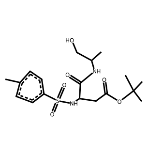 Cc1ccc(S(=O)(=O)NC(CC(=O)OC(C)(C)C)C(=O)NC(C)CO)cc1